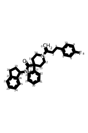 C=C(CCc1ccc(F)cc1)N1CCC(C(=O)NC2CCc3ccccc32)(c2ccccc2)CC1